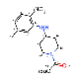 Cc1ccc([N+](=O)[O-])c(NC2CCN(C(=O)OCC(C)C)CC2)c1